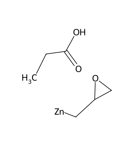 CCC(=O)O.[Zn][CH2]C1CO1